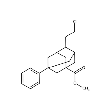 COC(=O)C12CC3CC(c4ccccc4)(CC(C1)C3CCCl)C2